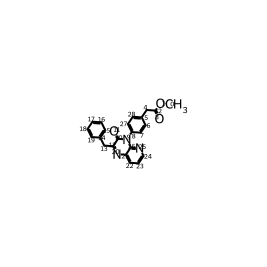 COC(=O)Cc1ccc(-n2c(=O)c(Cc3ccccc3)nc3cccnc32)cc1